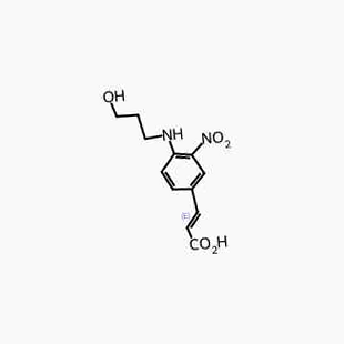 O=C(O)/C=C/c1ccc(NCCCO)c([N+](=O)[O-])c1